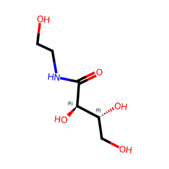 O=C(NCCO)[C@H](O)[C@H](O)CO